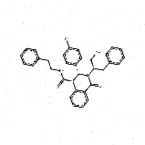 O=C(NCCc1ccccc1)[C@@H]1c2ccccc2C(=O)N([C@@H](CO)Cc2ccccc2)[C@H]1c1ccc(Cl)cc1